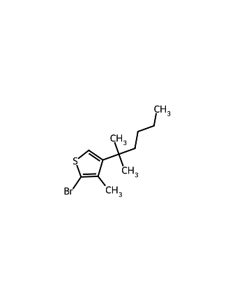 CCCCC(C)(C)c1csc(Br)c1C